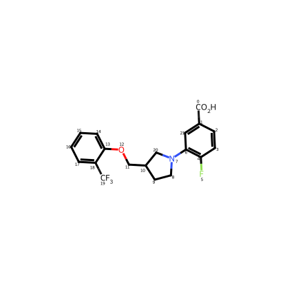 O=C(O)c1ccc(F)c(N2CCC(COc3ccccc3C(F)(F)F)C2)c1